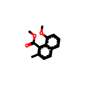 COC(=O)c1c(C)ccc2cccc(OC)c12